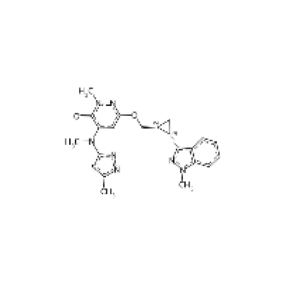 Cc1nnc(N(C)c2cc(OC[C@H]3C[C@@H]3c3nn(C)c4ccccc34)nn(C)c2=O)s1